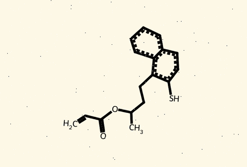 C=CC(=O)OC(C)CCc1c(S)ccc2ccccc12